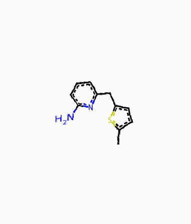 Cc1ccc(Cc2cccc(N)n2)s1